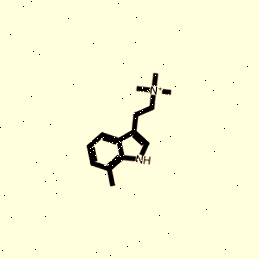 Cc1cccc2c(CC[N+](C)(C)C)c[nH]c12